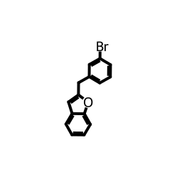 Brc1cccc(Cc2cc3ccccc3o2)c1